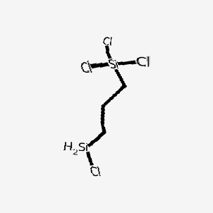 Cl[SiH2]CCC[Si](Cl)(Cl)Cl